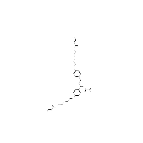 C=C(C)C(=O)OC(CCc1ccc(OCCOCCOC(=O)C=CC)cc1)c1ccc(OCCOCCOC(=O)C=CC)cc1